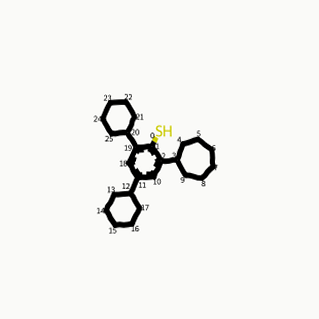 Sc1c(C2CCCCCC2)cc(C2CCCCC2)cc1C1CCCCC1